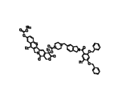 CCc1c2c(nc3ccc(OC(=O)OC(C)(C)C)cc13)-c1cc3c(c(=O)n1C2)COC(=O)C3(CC)OC(=O)N1CCN(Cc2ccc3c(c2)CN(C(=O)c2cc(C(C)C)c(OCc4ccccc4)cc2OCc2ccccc2)C3)CC1